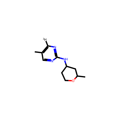 [2H]c1nc(NC2CCOC(C)C2)ncc1C